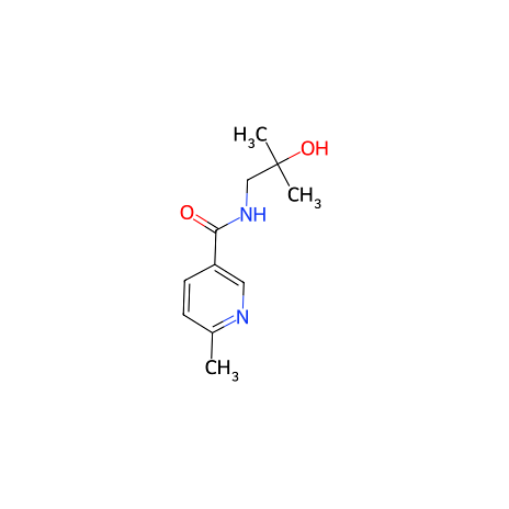 Cc1ccc(C(=O)NCC(C)(C)O)cn1